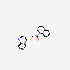 O=C(CSc1ccnc2ccccc12)c1cccc2ccccc12